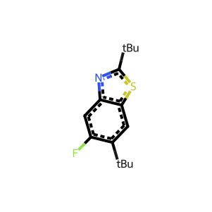 CC(C)(C)c1nc2cc(F)c(C(C)(C)C)cc2s1